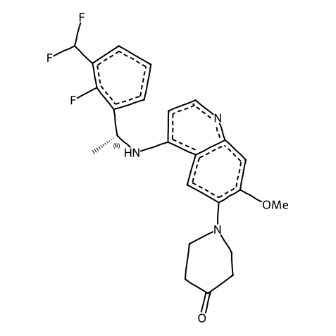 COc1cc2nccc(N[C@H](C)c3cccc(C(F)F)c3F)c2cc1N1CCC(=O)CC1